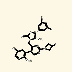 COc1ncc(Cl)cc1-c1cnc(N2CC(F)C2)nc1CN1C(=O)O[C@H](c2cc(F)cc(F)c2)[C@@H]1C